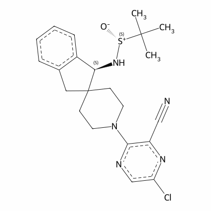 CC(C)(C)[S@@+]([O-])N[C@@H]1c2ccccc2CC12CCN(c1ncc(Cl)nc1C#N)CC2